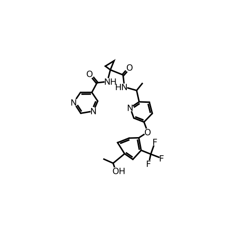 CC(O)c1ccc(Oc2ccc(C(C)NC(=O)C3(NC(=O)c4cncnc4)CC3)nc2)c(C(F)(F)F)c1